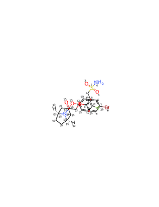 NS(=O)(=O)Cc1cc(Br)ccc1OCC(=O)N1[C@@H]2CC[C@H]1CC(Oc1ccc(F)cc1)C2